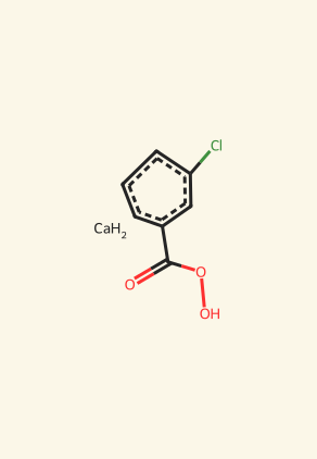 O=C(OO)c1cccc(Cl)c1.[CaH2]